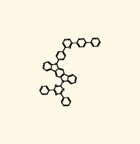 c1ccc(-c2ccc(-c3cccc(-c4ccc(-n5c6ccccc6c6cc7c(cc65)c5ccccc5n7-c5nc(-c6ccccc6)nc(-c6ccccc6)n5)cc4)n3)cc2)cc1